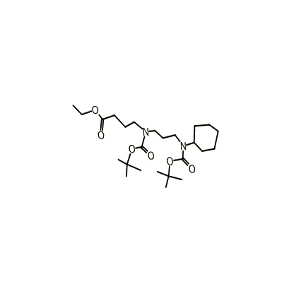 CCOC(=O)CCCN(CCCN(C(=O)OC(C)(C)C)C1CCCCC1)C(=O)OC(C)(C)C